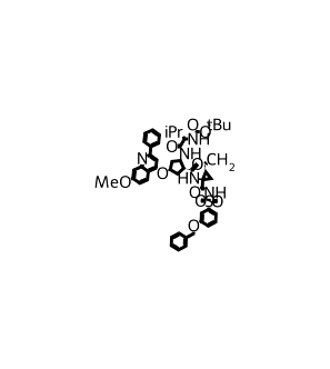 C=C[C@@H]1C[C@]1(NC(=O)[C@@H]1C[C@@H](Oc2cc(-c3ccccc3)nc3cc(OC)ccc23)C[C@@H]1NC(=O)C(NC(=O)OC(C)(C)C)C(C)C)C(=O)NS(=O)(=O)c1cccc(OCc2ccccc2)c1